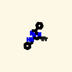 CC(C)c1cc(NCc2ccccc2)n2ncc(-c3ccccc3)c2n1